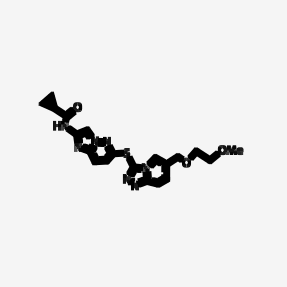 COCCOCc1ccc2nnc(Sc3ccc4nc(NC(=O)C5CC5)cn4n3)n2c1